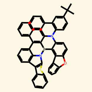 CC(C)(C)c1ccc(N2c3cc4ccccc4c4c3B(c3c2ccc2oc5ccccc5c32)n2c3sc5ccccc5c3c3cccc-4c32)c(-c2ccccc2)c1